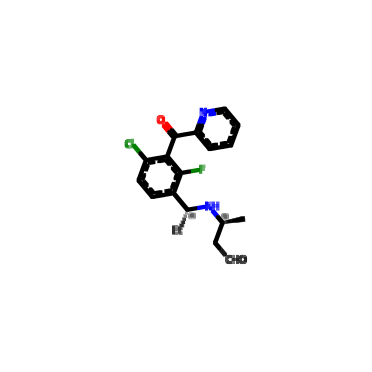 CC[C@@H](N[C@@H](C)CC=O)c1ccc(Cl)c(C(=O)c2ccccn2)c1F